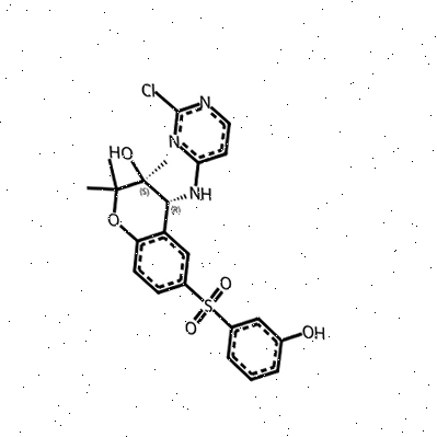 CC1(C)Oc2ccc(S(=O)(=O)c3cccc(O)c3)cc2[C@@H](Nc2ccnc(Cl)n2)[C@]1(C)O